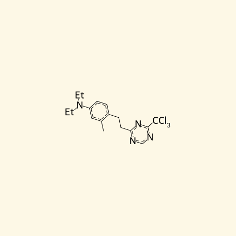 CCN(CC)c1ccc(CCc2ncnc(C(Cl)(Cl)Cl)n2)c(C)c1